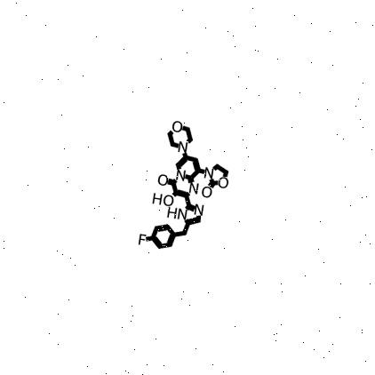 O=C1OCCN1c1cc(N2CCOCC2)cn2c(=O)c(O)c(-c3ncc(Cc4ccc(F)cc4)[nH]3)nc12